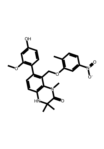 COc1cc(O)ccc1-c1ccc2c(c1COc1cc([N+](=O)[O-])ccc1C)N(C)C(=O)C(C)(C)N2